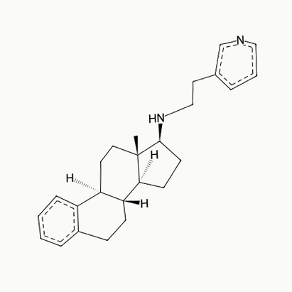 C[C@]12CC[C@@H]3c4ccccc4CC[C@H]3[C@@H]1CC[C@@H]2NCCc1cccnc1